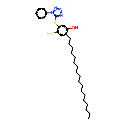 CCCCCCCCCCCCCCCCCCc1cc(S)c(Sc2nnnn2-c2ccccc2)cc1O